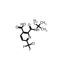 CC(C)(C)NC(=O)c1nc(C(F)(F)Cl)ccc1C(=O)O